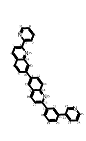 c1ccc(-c2ccc3ccc(-c4ccc5nc(-c6cccc(-c7cccnc7)c6)ccc5c4)cc3n2)nc1